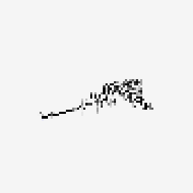 CCCCCC/C=C\CCCCCCCCSCCNC(=O)CCNC(=O)[C@H](O)C(C)(C)COP(=O)(O)OP(=O)(O)OC[C@H]1O[C@@H](n2cnc3c(N)ncnc32)[C@H](O)[C@@H]1OP(=O)(O)O